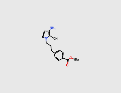 CC(C)(C)OC(=O)c1ccc(CCCn2ccc(N)c2C#N)cc1